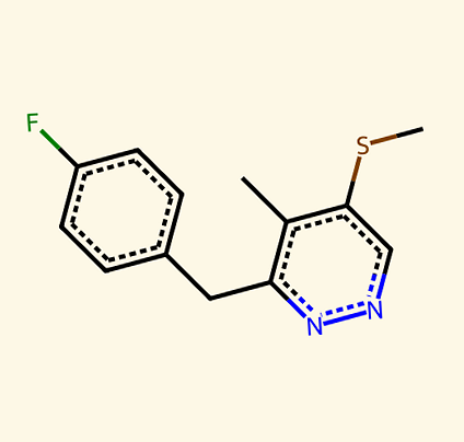 CSc1cnnc(Cc2ccc(F)cc2)c1C